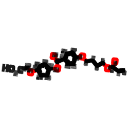 C=CC(=O)OCCCCOc1ccc(C(=O)Oc2ccc(OCC(=O)O)cc2)cc1